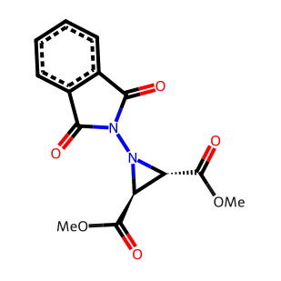 COC(=O)[C@@H]1[C@@H](C(=O)OC)N1N1C(=O)c2ccccc2C1=O